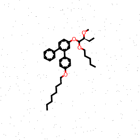 CCCCCCCCOc1ccc(-c2cc(OC(OCCCCC)[C@H](CC)OC)ccc2-c2ccccc2)cc1